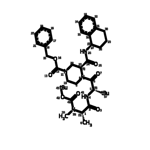 C[C@@H](C(=O)N[C@H](C(=O)N1CCN(C(=O)OCc2ccccc2)C[C@H]1C(=O)N[C@@H]1CCCc2ccccc21)C(C)(C)C)N(C)C(=O)OC(C)(C)C